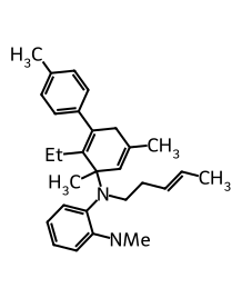 CC=CCCN(c1ccccc1NC)C1(C)C=C(C)CC(c2ccc(C)cc2)=C1CC